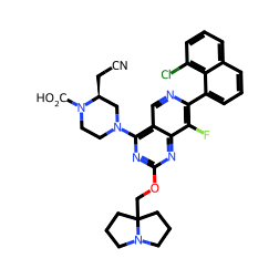 N#CC[C@H]1CN(c2nc(OCC34CCCN3CCC4)nc3c(F)c(-c4cccc5cccc(Cl)c45)ncc23)CCN1C(=O)O